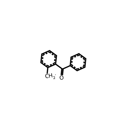 [CH2]c1ccccc1C(=O)c1ccccc1